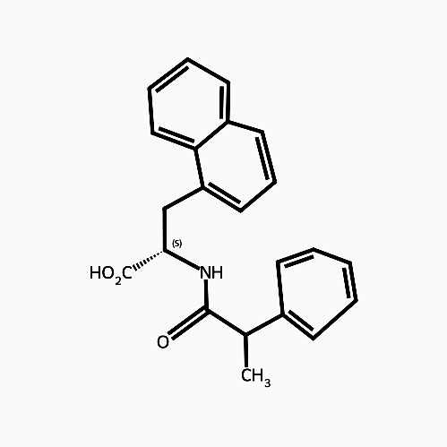 CC(C(=O)N[C@@H](Cc1cccc2ccccc12)C(=O)O)c1ccccc1